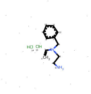 C=CN(CCN)Cc1ccccc1.Cl.Cl